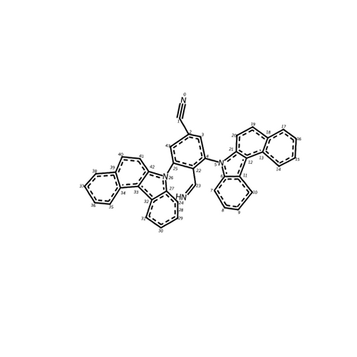 N#Cc1cc(-n2c3ccccc3c3c4ccccc4ccc32)c(C=N)c(-n2c3ccccc3c3c4ccccc4ccc32)c1